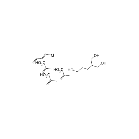 C=C(C)C(=O)O.C=C(C)C(=O)O.C=C(C)C(=O)O.C=CC=CCl.OCCCC(CO)CO